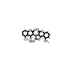 Cc1cccc2oc(=O)c(C3c4c(c5c(C)cccc5oc4=O)OC3O)c(O)c12